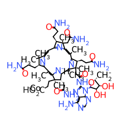 C/C1=C2/[N-][C@H]([C@H](CC(N)=O)[C@@]2(C)CCC(=O)O)[C@]2(C)N=C(/C(C)=C3N=C(/C=C4N=C1[C@@H](CCC(N)=O)C\4(C)C)[C@@H](CCC(N)=O)[C@]\3(C)CC(N)=O)[C@@H](CCC(N)=O)[C@]2(C)CC(N)=O.[CH2-][C@H]1O[C@@H](n2cnc3c(N)ncnc32)[C@H](O)[C@@H]1O.[Co]